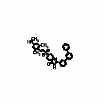 CNc1cc(C)c(/C=C/S(=O)(=O)N2CCC3(CC2)N=C(c2cccc(-c4cccc(-c5ccccc5)c4)c2)NC3=O)c(C)c1